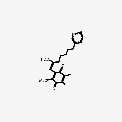 COC1=C(C=C(CCCCCc2cccnc2)C(=O)O)C(=O)C(C)=C(C)C1=O